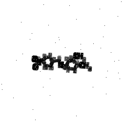 Cc1ccc(N=Cc2ccc([N+](=O)[O-])cc2)cc1C